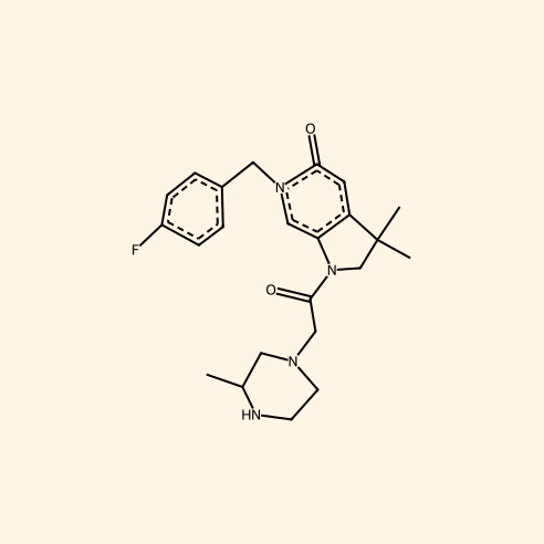 CC1CN(CC(=O)N2CC(C)(C)c3cc(=O)n(Cc4ccc(F)cc4)cc32)CCN1